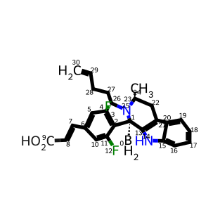 B[C@@]1(c2c(F)cc(/C=C/C(=O)O)cc2F)c2[nH]c3ccccc3c2C[C@@H](C)N1CCCC=C